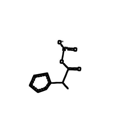 CC(C(=O)O[N+](=O)[O-])c1ccccc1